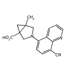 CC12CN(c3ccc(C#N)c4ncccc34)CC1(C(=O)O)C2